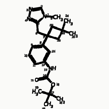 Cn1cnnc1CC1(c2cccc(NC(=O)OC(C)(C)C)c2)CC(C)(C)C1